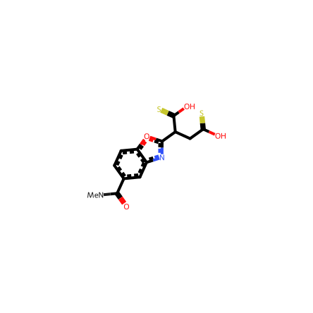 CNC(=O)c1ccc2oc(C(CC(O)=S)C(O)=S)nc2c1